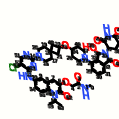 CNC(=O)COc1cc2cc(Nc3nc(N4CCC5(CC4)CC(OC4CCN(c6cccc7c6C(O)N(C6CCC(=O)NC6=O)C7=O)CC4)C5)ncc3Cl)ccc2n(C(C)C)c1=O